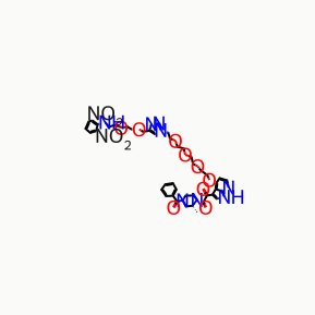 C[C@@H]1CN(C(=O)c2ccccc2)CCN1C(=O)C(=O)c1c[nH]c2nccc(OCCOCCOCCOCCn3cc(COCCOCCNc4c([N+](=O)[O-])cccc4[N+](=O)[O-])nn3)c12